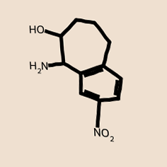 NC1c2cc([N+](=O)[O-])ccc2CCCC1O